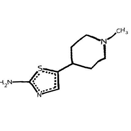 CN1CCC(c2cnc(N)s2)CC1